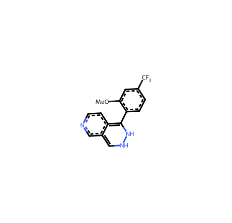 COc1cc(C(F)(F)F)ccc1C1=c2ccncc2=CNN1